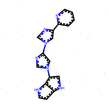 c1ccc(-c2cn(-c3cn(-c4c[nH]c5cc[nH]c45)cn3)cn2)nc1